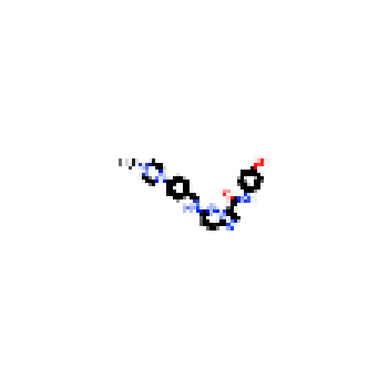 CN1CCN(c2ccc(CNc3ccc4ncc(C(=O)Nc5ccc(O)cc5)n4n3)cc2)CC1